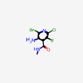 CNC(=O)c1c(N)c(Br)nc(Cl)c1F